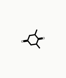 CC1CC(=O)CC(C)C1=O